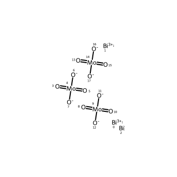 [Bi+3].[Bi+3].[Bi].[O]=[Mo](=[O])([O-])[O-].[O]=[Mo](=[O])([O-])[O-].[O]=[Mo](=[O])([O-])[O-]